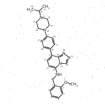 COc1ccccc1CNc1ccc(-c2ccc(N3CCN(C(C)C)CC3)nc2)c2nncn12